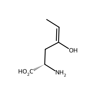 C/C=C(/O)C[C@H](N)C(=O)O